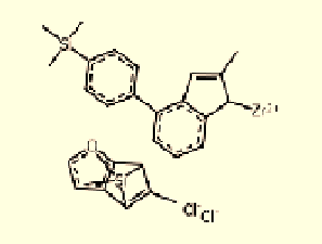 CC1=C2c3ccoc3C1[Si]2(C)C.CC1=Cc2c(-c3ccc([Si](C)(C)C)cc3)cccc2[CH]1[Zr+2].[Cl-].[Cl-]